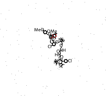 COc1ccc(COC(=O)[C@@]2(C)CCCC[C@H]2C(=O)N2CCc3c(Cl)ccc(OCc4nnn(C)c4COCCNC(=O)CNC(=O)C[C@@H]4N=C(c5ccc(Cl)cc5)c5c(sc(C)c5C)-n5c(C)nnc54)c3[C@H]2CN2CC3(CC3)CC2=O)c(OC)c1